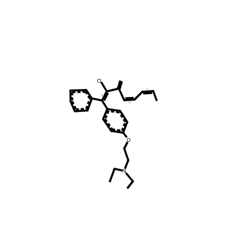 C=C(/C=C\C=C/C)/C(Cl)=C(/c1ccccc1)c1ccc(OCCN(CC)CC)cc1